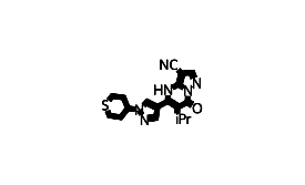 CC(C)c1c(-c2cnn(C3CCSCC3)c2)[nH]c2c(C#N)cnn2c1=O